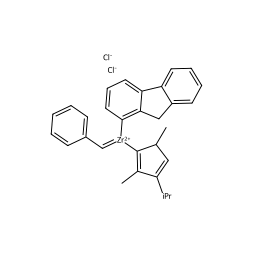 CC1=[C](/[Zr+2](=[CH]/c2ccccc2)[c]2cccc3c2Cc2ccccc2-3)C(C)C=C1C(C)C.[Cl-].[Cl-]